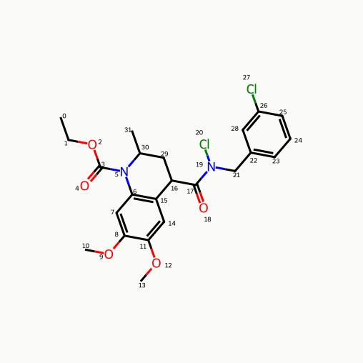 CCOC(=O)N1c2cc(OC)c(OC)cc2C(C(=O)N(Cl)Cc2cccc(Cl)c2)CC1C